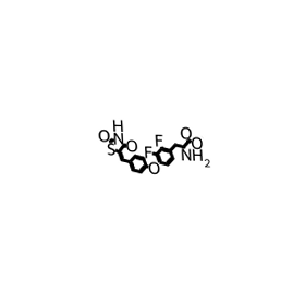 COC(=O)C(N)Cc1ccc(Oc2ccc(C=C3SC(=O)NC3=O)cc2)c(F)c1F